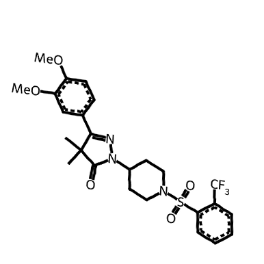 COc1ccc(C2=NN(C3CCN(S(=O)(=O)c4ccccc4C(F)(F)F)CC3)C(=O)C2(C)C)cc1OC